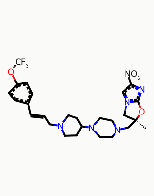 C[C@]1(CN2CCN(C3CCN(C/C=C/c4ccc(OC(F)(F)F)cc4)CC3)CC2)Cn2cc([N+](=O)[O-])nc2O1